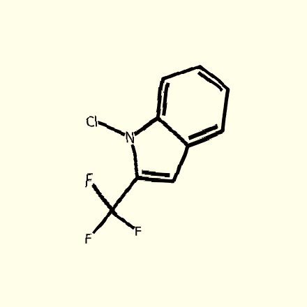 FC(F)(F)c1cc2ccccc2n1Cl